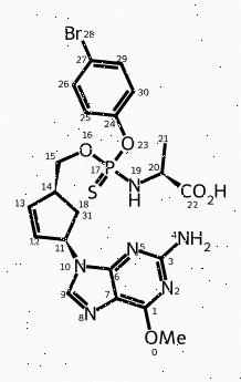 COc1nc(N)nc2c1ncn2[C@H]1C=C[C@@H](COP(=S)(N[C@@H](C)C(=O)O)Oc2ccc(Br)cc2)C1